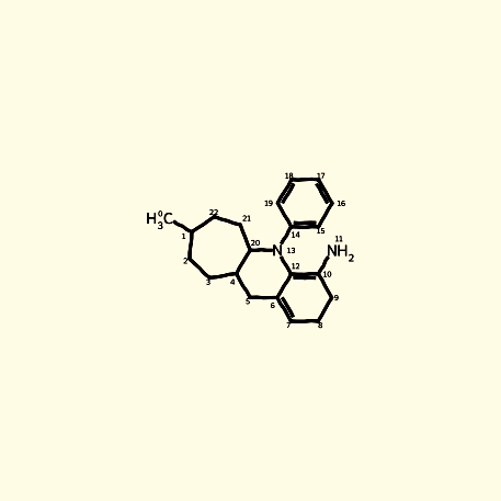 CC1CCC2CC3=CCCC(N)=C3N(c3ccccc3)C2CC1